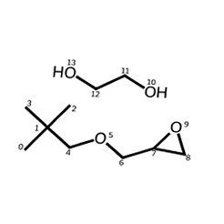 CC(C)(C)COCC1CO1.OCCO